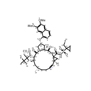 COc1cc2ccnc(O[C@@H]3C[C@H]4C(=O)N[C@]5(C(=O)NS(=O)(=O)C6(CF)CC6)C[C@H]5/C=C\CC[C@H](C)C[C@@H](C)[C@H](N(C(=O)O)C(C)(C)C(C)(F)F)C(=O)N4C3)c2cc1OC